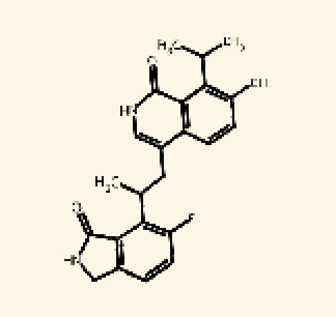 Cc1ccc2c(CC(C)c3c(F)ccc4c3C(=O)NC4)c[nH]c(=O)c2c1C(C)C